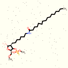 B[C@@H]1O[C@H](COC)C(OP(O)(=S)OC)[C@@H]1CCCCCCCNC(=O)CCCCCCCCCCCCCCC